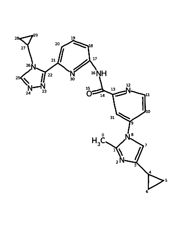 Cc1nc(C2CC2)cn1-c1ccnc(C(=O)Nc2cccc(-c3nncn3C3CC3)n2)c1